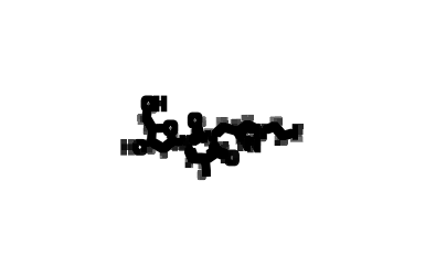 Cc1cn(C2C[C@H](O)C(CO)O2)c(=O)n(Cc2cn(CCF)nn2)c1=O